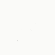 CCOC(=O)C(C(=O)OCC)c1nc(NCc2ccccn2)c2c(-c3ccc(F)cc3)c(C)sc2n1